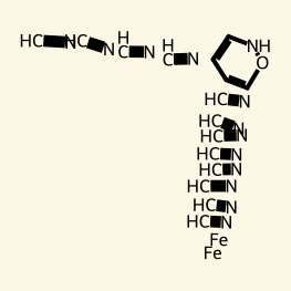 C#N.C#N.C#N.C#N.C#N.C#N.C#N.C#N.C#N.C#N.C#N.C#N.C1=CNOC=C1.[Fe].[Fe]